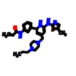 C=CC(=O)Nc1cccc(C2C=C(CN3CCN(CCC)CC3)C=C(Nc3ncc(C)s3)N2)c1